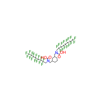 O=C(O)N(CC1CCCC(CN(CC(F)(F)C(F)(F)C(F)(F)C(F)(F)C(F)(F)C(F)(F)C(F)(F)F)C(=O)O)C1)CC(F)(F)C(F)(F)C(F)(F)C(F)(F)C(F)(F)C(F)(F)C(F)(F)F